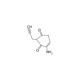 C#CCC1C(=O)CC=C(N)C1=O